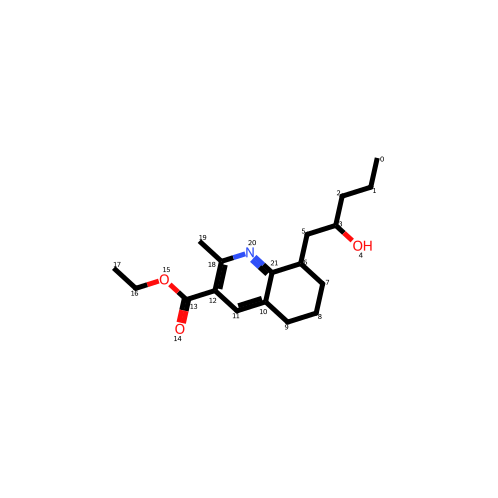 CCCC(O)CC1CCCc2cc(C(=O)OCC)c(C)nc21